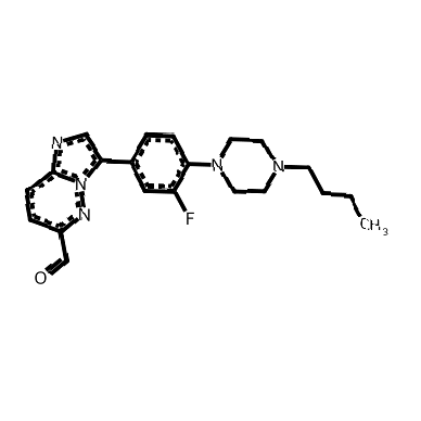 CCCCN1CCN(c2ccc(-c3cnc4ccc(C=O)nn34)cc2F)CC1